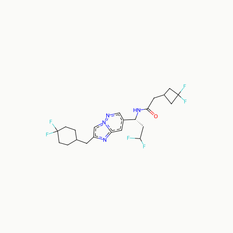 O=C(CC1CC(F)(F)C1)N[C@H](CC(F)F)c1cnn2cc(CC3CCC(F)(F)CC3)nc2c1